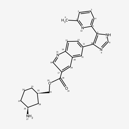 Cc1cccc(-c2[nH]cnc2-c2ccc3ncc(C(=O)OC[C@@H]4CCC[C@H](N)C4)cc3c2)n1